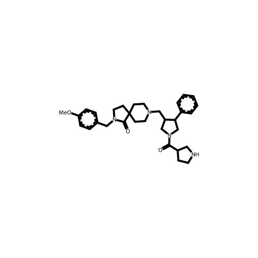 COc1ccc(CN2CCC3(CCN(CC4CN(C(=O)C5CCNC5)CC4c4ccccc4)CC3)C2=O)cc1